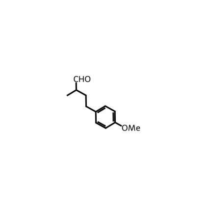 COc1ccc(CCC(C)C=O)cc1